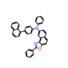 c1ccc(-c2nc3c(ccc4ccc(N(c5ccccc5)c5ccc(-c6cccc7ccccc67)cc5)cc43)o2)cc1